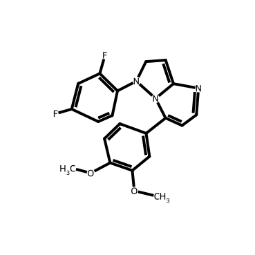 COc1ccc(C2=CC=NC3=CCN(c4ccc(F)cc4F)N32)cc1OC